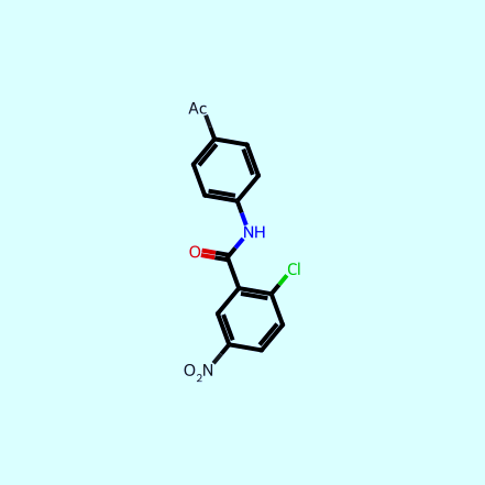 CC(=O)c1ccc(NC(=O)c2cc([N+](=O)[O-])ccc2Cl)cc1